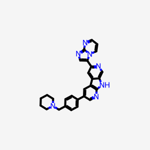 c1cnc2ncc(-c3cc4c(cn3)[nH]c3ncc(-c5ccc(CN6CCCCC6)cc5)cc34)n2c1